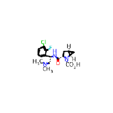 CN(C)C[C@@H](NC(=O)[C@@H]1C[C@H]2C[C@H]2N1C(=O)O)c1cccc(Cl)c1F